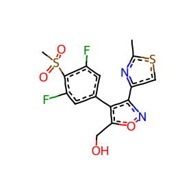 Cc1nc(-c2noc(CO)c2-c2cc(F)c(S(C)(=O)=O)c(F)c2)cs1